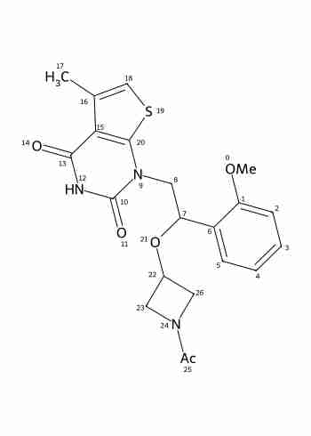 COc1ccccc1C(Cn1c(=O)[nH]c(=O)c2c(C)csc21)OC1CN(C(C)=O)C1